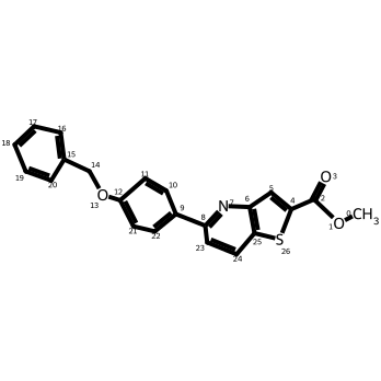 COC(=O)c1cc2nc(-c3ccc(OCc4ccccc4)cc3)ccc2s1